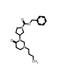 CCCCN1CCC(=O)N(C2CCN(C(=O)OCc3ccccc3)C2)C1